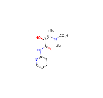 CCCC[C@@H]([C@H](O)C(=O)Nc1ccccn1)N(C(=O)O)C(C)(C)C